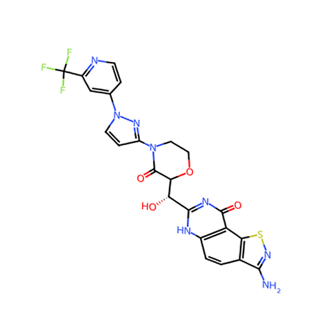 Nc1nsc2c1ccc1[nH]c([C@H](O)C3OCCN(c4ccn(-c5ccnc(C(F)(F)F)c5)n4)C3=O)nc(=O)c12